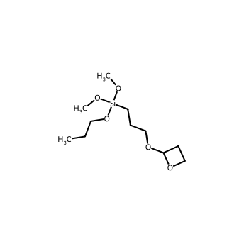 CCCO[Si](CCCOC1CCO1)(OC)OC